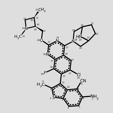 Cc1sc2ccc(N)c(C#N)c2c1-c1c(Cl)cc2c(N3CC4CCC(C3)N4)nc(OC[C@@H]3[C@H](C)CN3C)nc2c1F